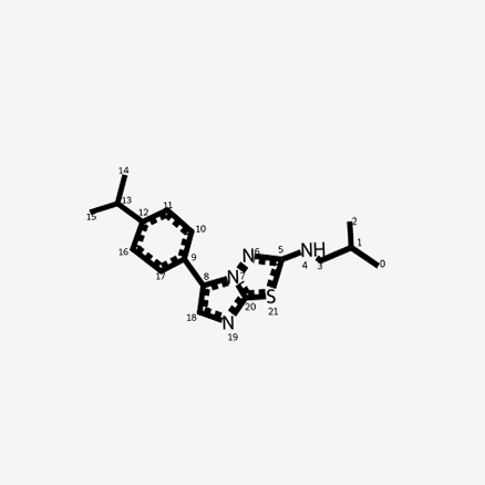 CC(C)CNc1nn2c(-c3ccc(C(C)C)cc3)cnc2s1